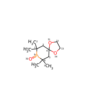 CC1(C)CC2(CC(C)(C)[P]1=O)OCCO2